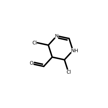 O=CC1C(Cl)N=CNC1Cl